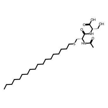 CCCCCCCCCCCCCCCCCCSC[C@@H](NC(C)=O)C(=O)N[C@@H](CO)C(=O)O